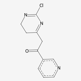 O=C(CC1=NC(Cl)=NCC1)c1cccnc1